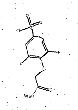 COC(=O)COc1c(F)cc(S(=O)(=O)Cl)cc1F